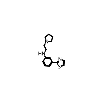 c1cc(NCCN2CCCC2)cc(-c2nccs2)c1